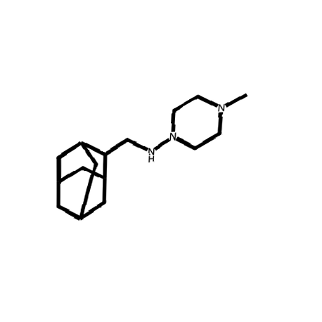 CN1CCN(NCC2C3CC4CC(C3)CC2C4)CC1